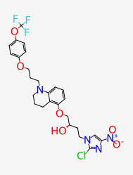 O=[N+]([O-])c1cn(CC[C@@H](O)COc2cccc3c2CCCN3CCCOc2ccc(OC(F)(F)F)cc2)c(Cl)n1